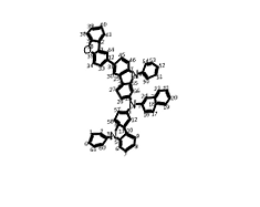 c1ccc(-n2c3ccccc3c3cc(N(c4ccc5ccccc5c4)c4ccc5c6cc(-c7ccc8oc9ccccc9c8c7)ccc6n(-c6ccccc6)c5c4)ccc32)cc1